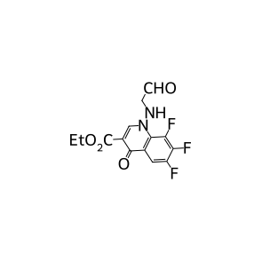 CCOC(=O)c1cn(NCC=O)c2c(F)c(F)c(F)cc2c1=O